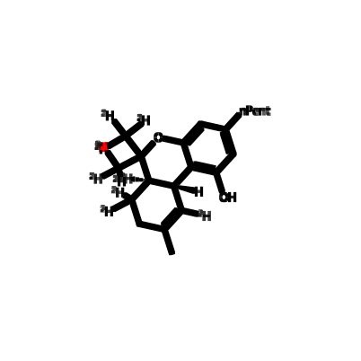 [2H]C1=C(C)CC([2H])([2H])[C@]2([2H])[C@@H]1c1c(O)cc(CCCCC)cc1OC2(C([2H])([2H])[2H])C([2H])([2H])[2H]